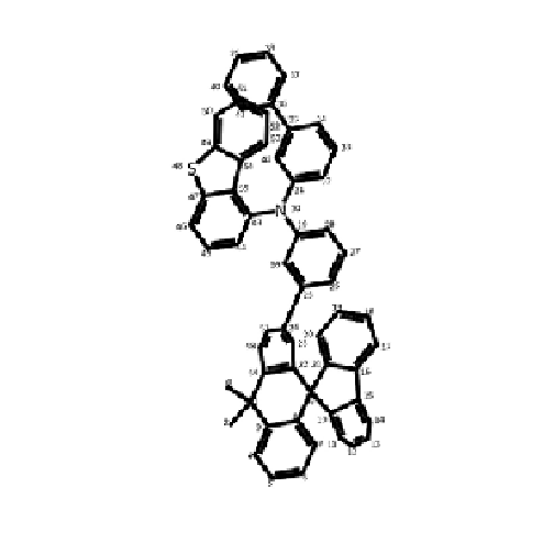 CC1(C)c2ccccc2C2(c3ccccc3-c3ccccc32)c2cc(-c3cccc(N(c4cccc(-c5ccccc5)c4)c4cccc5sc6ccccc6c45)c3)ccc21